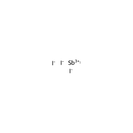 [I-].[I-].[I-].[Sb+3]